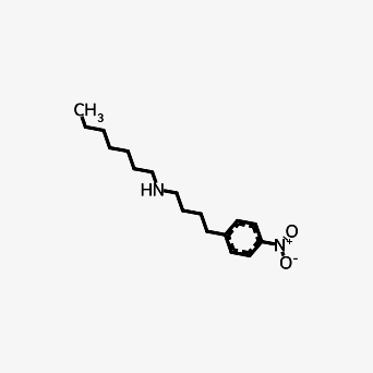 CCCCCCCNCCCCc1ccc([N+](=O)[O-])cc1